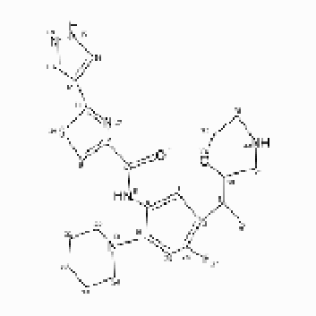 CC(c1cc(NC(=O)c2csc(-c3cn[nH]c3)n2)c(N2CCCCC2)cc1F)C1CNCCO1